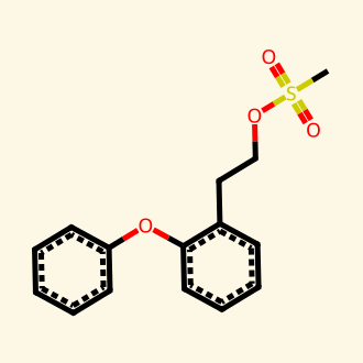 CS(=O)(=O)OCCc1ccccc1Oc1ccccc1